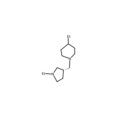 CCC1CCN(C[C@@H]2CCN(CC)C2)CC1